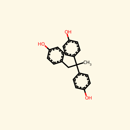 CC(Cc1ccc(O)cc1)(c1ccc(O)cc1)c1ccc(O)cc1